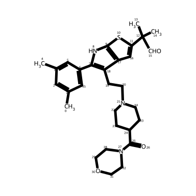 Cc1cc(C)cc(-c2[nH]c3sc(C(C)(C)C=O)cc3c2CCN2CCC(C(=O)N3CCOCC3)CC2)c1